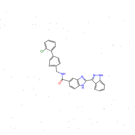 O=C(NCc1ccc(-c2ccccc2Cl)cc1)c1ccc2[nH]c(-c3n[nH]c4ccccc34)nc2c1